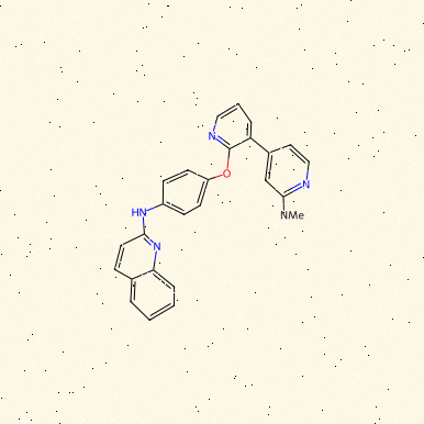 CNc1cc(-c2cccnc2Oc2ccc(Nc3ccc4ccccc4n3)cc2)ccn1